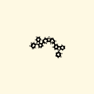 c1ccc(-n2c3ccccc3c3cc(-c4ccc5oc6ccc(-c7cccc8c7c7ccccc7n8-c7ccccc7)nc6c5n4)ccc32)cc1